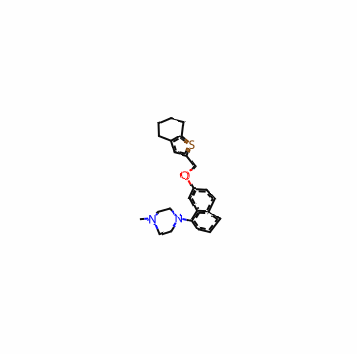 CN1CCN(c2cccc3ccc(OCc4cc5c(s4)CCCC5)cc23)CC1